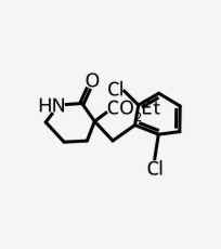 CCOC(=O)C1(Cc2c(Cl)cccc2Cl)CCCNC1=O